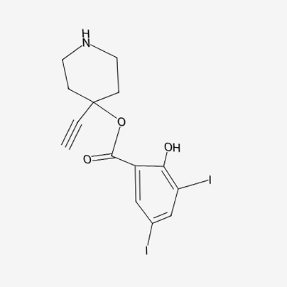 C#CC1(OC(=O)c2cc(I)cc(I)c2O)CCNCC1